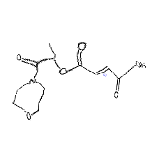 CC(OC(=O)/C=C/C(=O)O)C(=O)N1CCOCC1